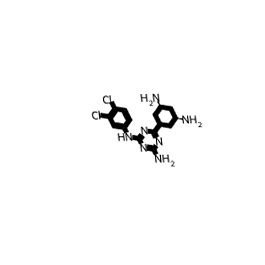 Nc1nc(Nc2ccc(Cl)c(Cl)c2)nc(C2C[C@@H](N)C[C@@H](N)C2)n1